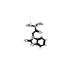 CCCCN(CCCC)C(=O)Cn1c(=O)oc2ccccc21